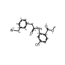 COC(=O)c1ccc(Cl)cc1NC(=O)Cc1cccc(CBr)c1